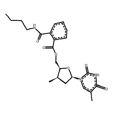 CCCCNC(=O)c1ccccc1C(=O)OC[C@H]1O[C@@H](n2cc(C)c(=O)[nH]c2=O)C[C@H]1C